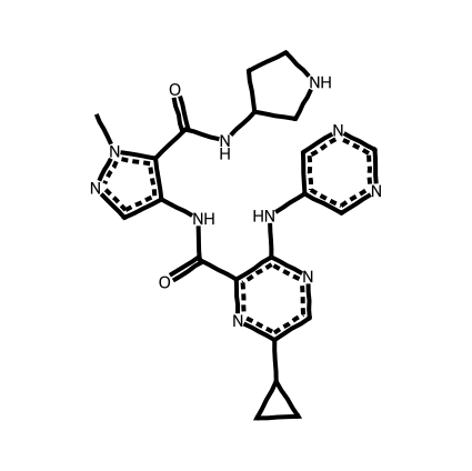 Cn1ncc(NC(=O)c2nc(C3CC3)cnc2Nc2cncnc2)c1C(=O)NC1CCNC1